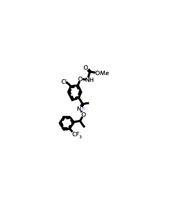 COC(=O)NOc1cc(/C(C)=N/OC(C)c2ccccc2C(F)(F)F)ccc1Cl